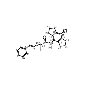 O=C(NS/C=C/c1ccccc1)Nc1c2c(c(Cl)c3c1CCC3)CCC2